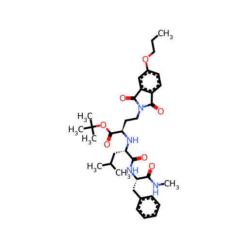 CCCOc1ccc2c(c1)C(=O)N(CC[C@@H](N[C@@H](CC(C)C)C(=O)N[C@@H](Cc1ccccc1)C(=O)NC)C(=O)OC(C)(C)C)C2=O